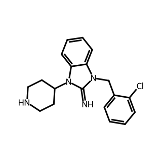 N=c1n(Cc2ccccc2Cl)c2ccccc2n1C1CCNCC1